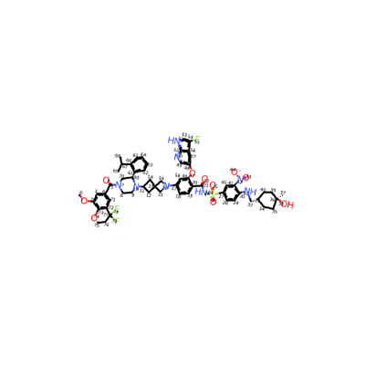 COc1cc(C(=O)N2CCN(C3CC4(C3)CN(c3ccc(C(=O)NS(=O)(=O)c5ccc(NC[C@H]6CC[C@](C)(O)CC6)c([N+](=O)[O-])c5)c(Oc5cnc6[nH]cc(F)c6c5)c3)C4)[C@H](c3ccccc3C(C)C)C2)cc2c1OCCC2(F)F